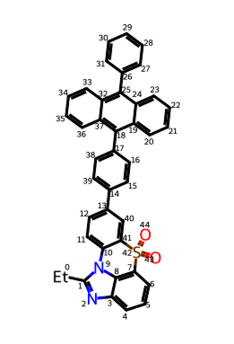 CCc1nc2cccc3c2n1-c1ccc(-c2ccc(-c4c5ccccc5c(-c5ccccc5)c5ccccc45)cc2)cc1S3(=O)=O